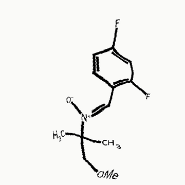 COCC(C)(C)[N+]([O-])=Cc1ccc(F)cc1F